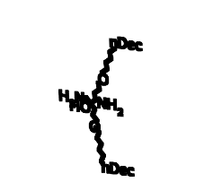 CCCCCCCCCCCCCCCCOCCCC(N)C(O)(CN)CCCOCCCCCCCCCCCCCCCC